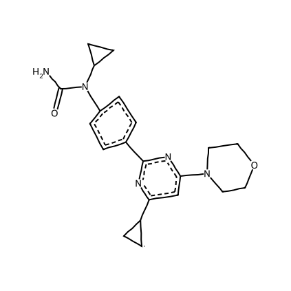 NC(=O)N(c1ccc(-c2nc(C3[CH]C3)cc(N3CCOCC3)n2)cc1)C1CC1